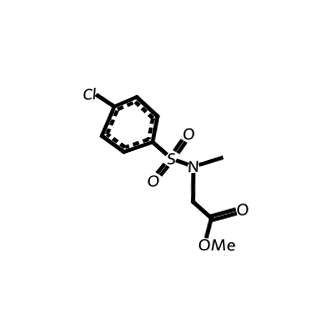 COC(=O)CN(C)S(=O)(=O)c1ccc(Cl)cc1